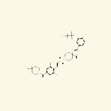 Cc1cc(C(=O)N2CCC(O)(CF)CC2)cc(C)c1/C=C/S(=O)(=O)N1CCC2(CC1)N=C(c1ccc(Cl)c(OC(C)(C)C(F)(F)F)c1)NC2=O